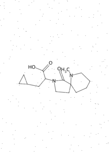 CN1CCCCC12CCN(C(CC1CC1)C(=O)O)C2=O